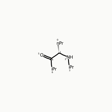 CCC[C@H](NC(C)C)C(=O)C(C)C